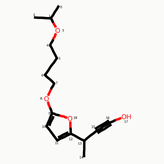 CC(C)OCCCCOc1ccc(C(C)C#CO)o1